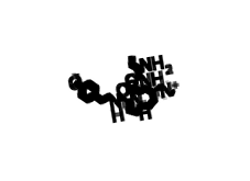 CC[C@H](N)C(=O)N[C@@H]1C(=O)N2[C@@H](CC[C@@H]1C[N+](C)(C)C)CC[C@H]2C(=O)NCCc1ccc(OC)cc1